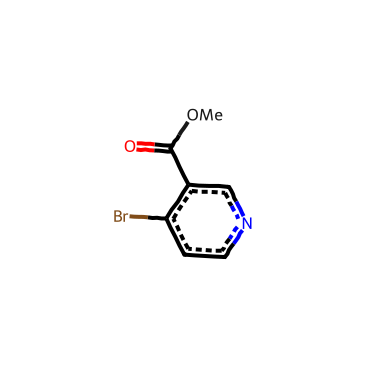 COC(=O)c1cnccc1Br